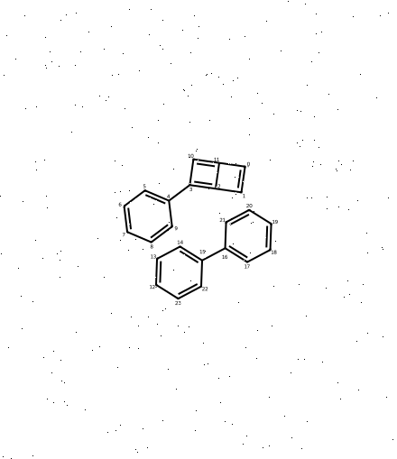 [c]1cc2c(-c3ccccc3)cc1-2.[c]1ccc(-c2ccccc2)cc1